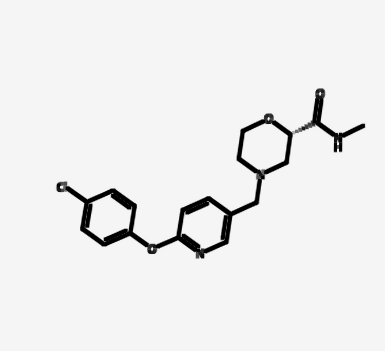 CNC(=O)[C@@H]1CN(Cc2ccc(Oc3ccc(Cl)cc3)nc2)CCO1